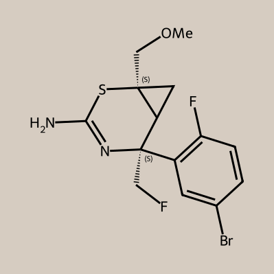 COC[C@]12CC1[C@@](CF)(c1cc(Br)ccc1F)N=C(N)S2